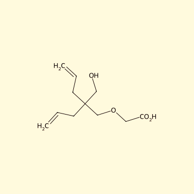 C=CCC(CO)(CC=C)COCC(=O)O